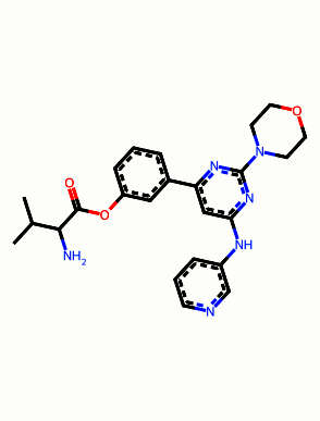 CC(C)C(N)C(=O)Oc1cccc(-c2cc(Nc3cccnc3)nc(N3CCOCC3)n2)c1